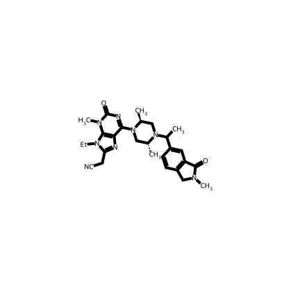 CCn1c(CC#N)nc2c(N3C[C@@H](C)N(C(C)c4ccc5c(c4)C(=O)N(C)C5)C[C@@H]3C)nc(=O)n(C)c21